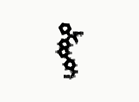 CCNC(=O)N(c1ccccc1)c1ccc2ncc(-c3ccc(NC(=O)OCC)cc3)nc2n1